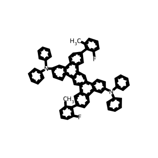 Cc1cccc(F)c1-c1ccc2c(c1)c1cc3c4ccc(N(c5ccccc5)c5ccccc5)cc4c4ccc(-c5c(C)cccc5F)cc4c3cc1c1ccc(N(c3ccccc3)c3ccccc3)cc21